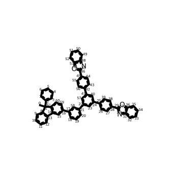 CC1(c2ccccc2)c2ccccc2-c2cc(-c3cccc(-c4cc(-c5ccc(-c6nc7ccccc7o6)cc5)cc(-c5ccc(-c6nc7ccccc7o6)cc5)c4)c3)ccc21